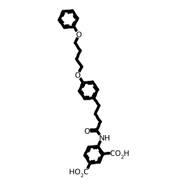 O=C(CCCc1ccc(OCCCCOc2ccccc2)cc1)Nc1ccc(C(=O)O)cc1C(=O)O